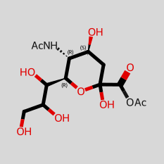 CC(=O)N[C@@H]1[C@@H](O)CC(O)(C(=O)OC(C)=O)O[C@H]1C(O)C(O)CO